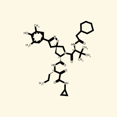 CCC[C@H](NC(=O)[C@@H]1C[C@]2(CC(c3cc(C)c(O)c(C)c3)=NO2)CN1C(=O)[C@@H](NC(=O)CC1CCCCC1)C(C)(C)C)C(=O)C(=O)NC1CC1